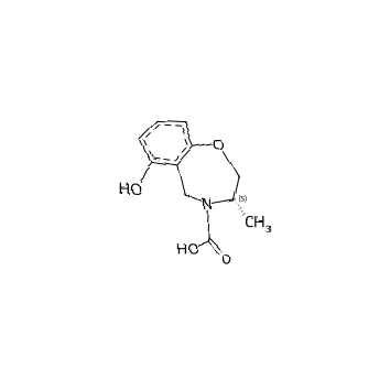 C[C@H]1COc2cccc(O)c2CN1C(=O)O